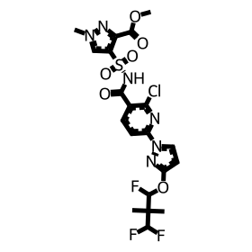 COC(=O)c1nn(C)cc1S(=O)(=O)NC(=O)c1ccc(-n2ccc(OC(F)C(C)(C)C(F)F)n2)nc1Cl